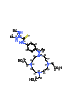 CCNN(NCC)C(=S)Nc1ccc(N(C(C)=O)N2CCN(CC(=O)O)CCN(CC(=O)O)CCN(CC(=O)O)CC2)cc1